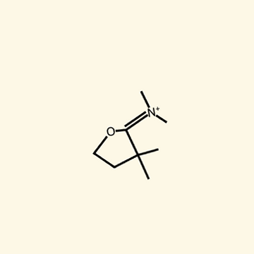 C[N+](C)=C1OCCC1(C)C